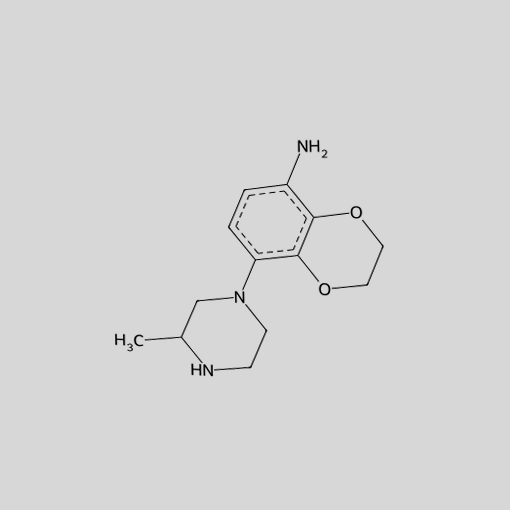 CC1CN(c2ccc(N)c3c2OCCO3)CCN1